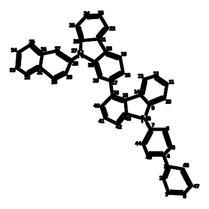 c1ccc(-c2ccc(-n3c4ccccc4c4c(-c5ccc6c7ccccc7n(-c7ccc8ccccc8c7)c6c5)cccc43)cc2)cc1